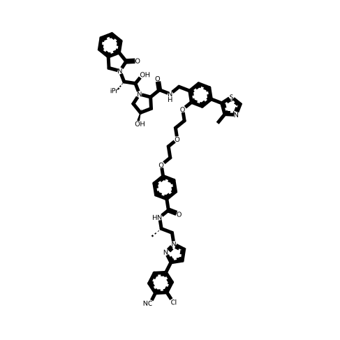 Cc1ncsc1-c1ccc(CNC(=O)C2C[C@@H](O)CN2C(O)[C@H](C(C)C)N2Cc3ccccc3C2=O)c(OCCOCCOc2ccc(C(=O)N[C@@H](C)Cn3ccc(-c4ccc(C#N)c(Cl)c4)n3)cc2)c1